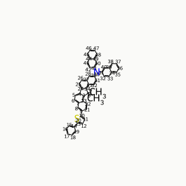 CC1(C)c2c(ccc3cc(-c4ccc(-c5ccccc5)s4)ccc23)-c2ccc3cc(N(c4ccc5ccccc5c4)c4ccc5ccccc5c4)ccc3c21